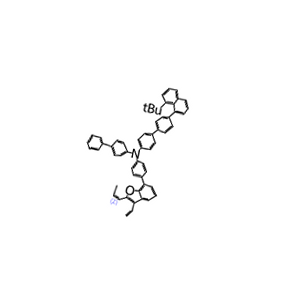 C=Cc1c(/C=C\C)oc2c(-c3ccc(N(c4ccc(-c5ccccc5)cc4)c4ccc(-c5ccc(-c6cccc7cccc(C(C)(C)C)c67)cc5)cc4)cc3)cccc12